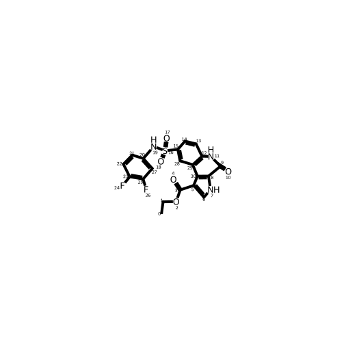 CCOC(=O)c1c[nH]c2c(=O)[nH]c3ccc(S(=O)(=O)Nc4ccc(F)c(F)c4)cc3c12